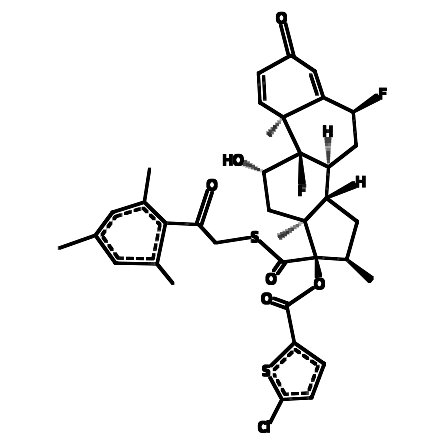 Cc1cc(C)c(C(=O)CSC(=O)[C@@]2(OC(=O)c3ccc(Cl)s3)[C@H](C)C[C@H]3[C@@H]4C[C@H](F)C5=CC(=O)C=C[C@]5(C)[C@@]4(F)[C@@H](O)C[C@@]32C)c(C)c1